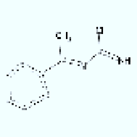 C/C(=N\C(=N)Cl)c1ccccc1